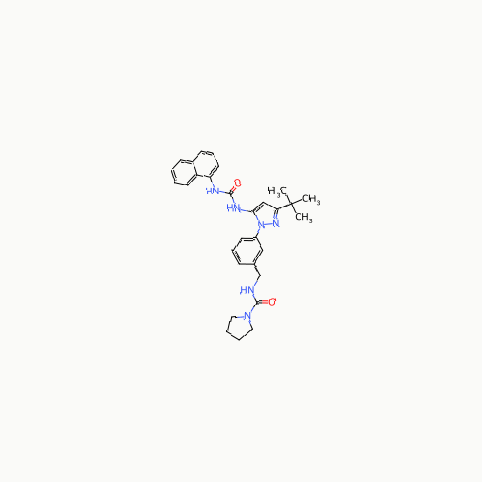 CC(C)(C)c1cc(NC(=O)Nc2cccc3ccccc23)n(-c2cccc(CNC(=O)N3CCCC3)c2)n1